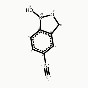 [C-]#[N+]c1ccc2c(c1)COB2O